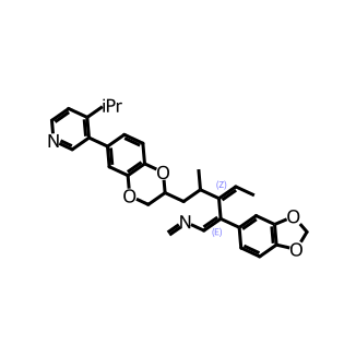 C=N/C=C(\C(=C/C)C(C)CC1COc2cc(-c3cnccc3C(C)C)ccc2O1)c1ccc2c(c1)OCO2